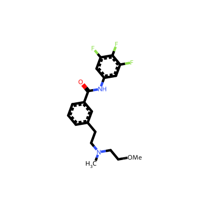 COCCN(C)CCc1cccc(C(=O)Nc2cc(F)c(F)c(F)c2)c1